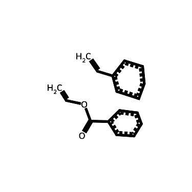 C=COC(=O)c1ccccc1.C=Cc1ccccc1